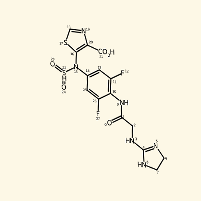 O=C(CNC1=NCCN1)Nc1c(F)cc(N(c2scnc2C(=O)O)[SH](=O)=O)cc1F